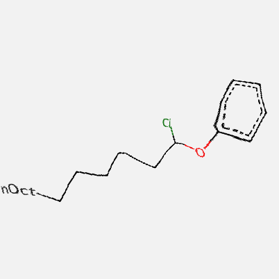 CCCCCCCCCCCCCC(Cl)Oc1ccccc1